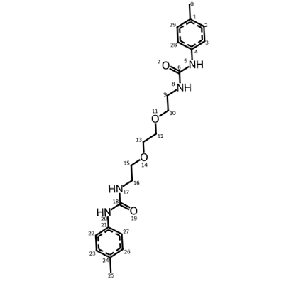 Cc1ccc(NC(=O)NCCOCCOCCNC(=O)Nc2ccc(C)cc2)cc1